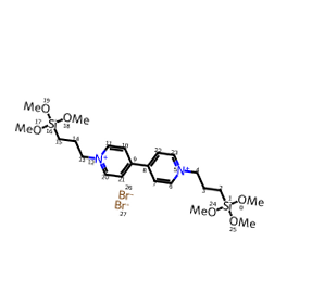 CO[Si](CCC[n+]1ccc(-c2cc[n+](CCC[Si](OC)(OC)OC)cc2)cc1)(OC)OC.[Br-].[Br-]